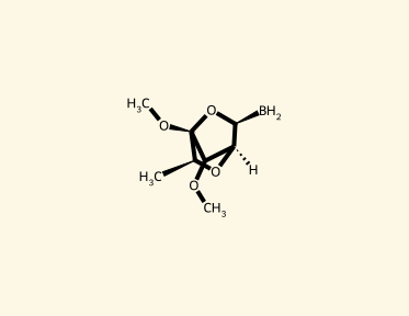 B[C@@H]1O[C@]2(OC)C(OC)[C@@H]1O[C@H]2C